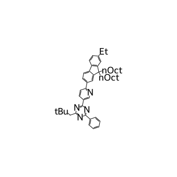 CCCCCCCCC1(CCCCCCCC)c2cc(CC)ccc2-c2ccc(-c3ccc(-c4nc(CC(C)(C)C)nc(-c5ccccc5)n4)cn3)cc21